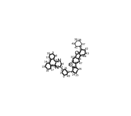 c1cc(-c2cnc3c4ccccc4c4ccccc4c3n2)cc(-c2cccc3c2oc2cc4oc5c(C6CCCCC6)cccc5c4cc23)c1